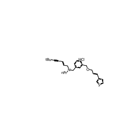 CCCN(C/C=C/C#CC(C)(C)C)Cc1cccc(COC/C=C/c2ccsc2)c1.Cl